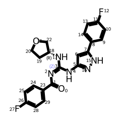 O=C(/N=C(\Nc1cc(-c2ccc(F)cc2)[nH]n1)N[C@@H]1CCOC1)c1ccc(F)cc1